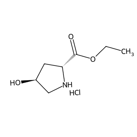 CCOC(=O)[C@H]1C[C@H](O)CN1.Cl